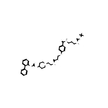 CN(CCN1CCC(OC(=O)Nc2ccccc2-c2ccccc2)CC1)C(=O)CCNc1ccc(C(=O)N(C)CCCN(C)C(=O)OC(C)(C)C)cc1